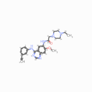 C#Cc1cccc(Nc2ncnc3cc(OC)c(NC(=O)CN4CCN(CC)CC4)cc23)c1